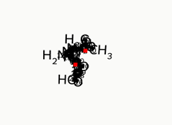 COc1ccc(-c2cnc3nc(N)nc(N4CCN(C(=O)c5ccc(C(=O)O)cc5)CC4)c3n2)cc1OC